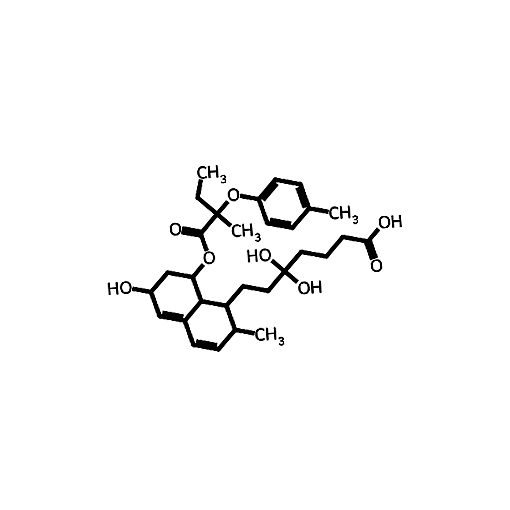 CCC(C)(Oc1ccc(C)cc1)C(=O)OC1CC(O)C=C2C=CC(C)C(CCC(O)(O)CCCC(=O)O)C21